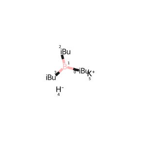 CCC(C)B(C(C)CC)C(C)CC.[H-].[K+]